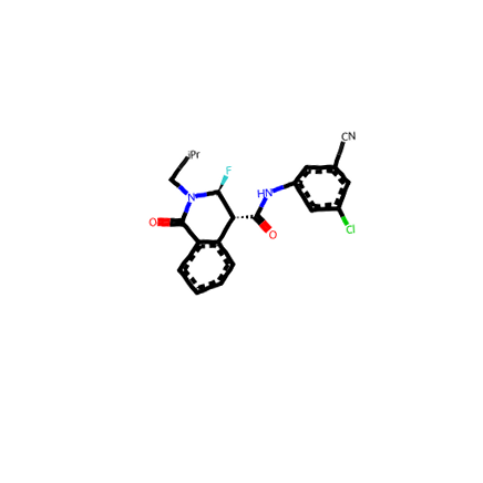 CC(C)CN1C(=O)c2ccccc2[C@@H](C(=O)Nc2cc(Cl)cc(C#N)c2)[C@@H]1F